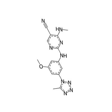 CNc1nc(Nc2cc(OC)cc(-n3nnnc3C)c2)ncc1C#N